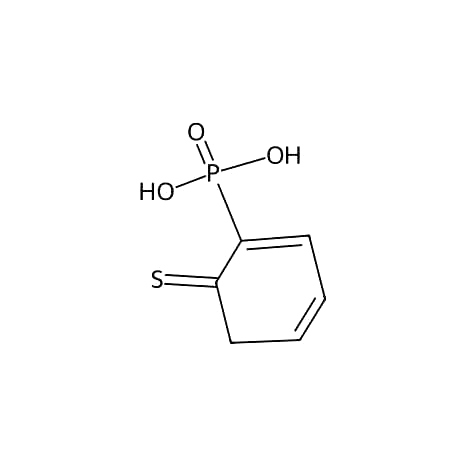 O=P(O)(O)C1=CC=CCC1=S